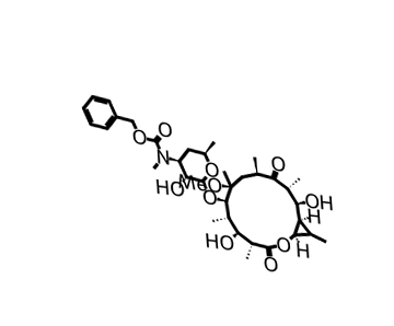 CO[C@@]1(C)C[C@@H](C)C(=O)[C@H](C)[C@@H](O)[C@H]2C(C)[C@H]2OC(=O)[C@H](C)[C@@H](O)[C@H](C)[C@H]1O[C@@H]1O[C@H](C)C[C@H](N(C)C(=O)OCc2ccccc2)[C@H]1O